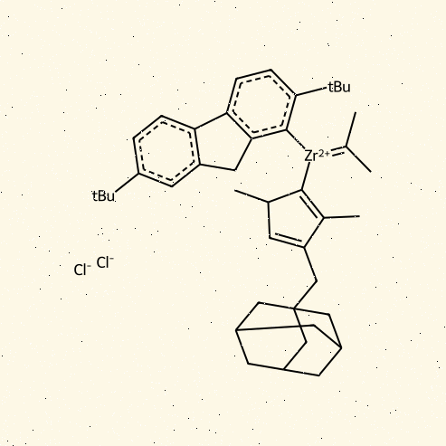 CC1=[C]([Zr+2](=[C](C)C)[c]2c(C(C)(C)C)ccc3c2Cc2cc(C(C)(C)C)ccc2-3)C(C)C=C1CC12CC3CC(CC(C3)C1)C2.[Cl-].[Cl-]